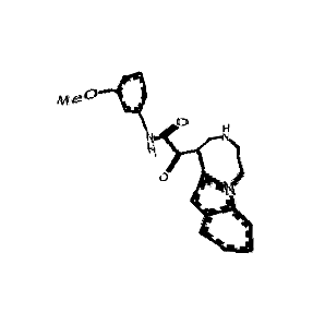 COc1cccc(NC(=O)C(=O)C2CNCCn3c2cc2ccccc23)c1